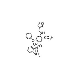 Nc1ccccc1NS(=O)(=O)c1cc(C(=O)O)c(NCc2ccoc2)cc1Oc1ccccc1